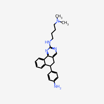 CN(C)CCCCNc1ncc2c(n1)-c1ccccc1C(c1ccc(N)cc1)C2